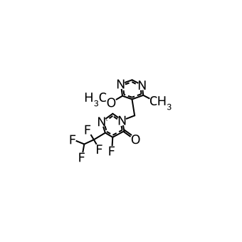 COc1ncnc(C)c1Cn1cnc(C(F)(F)C(F)F)c(F)c1=O